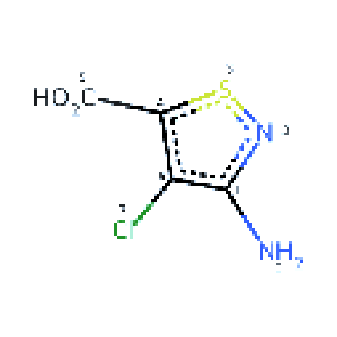 Nc1nsc(C(=O)O)c1Cl